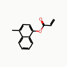 C=CC(=O)Oc1ccc(C)c2ccccc12